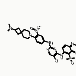 CN(C)C1CC2(CCN(c3ccc(Nc4ncc(Cl)c(Nc5ccc6nccnc6c5P(C)(C)=O)n4)cc3[N+](=O)[O-])CC2)C1